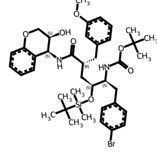 COc1cccc(C[C@H](C[C@H](O[Si](C)(C)C(C)(C)C)[C@H](Cc2ccc(Br)cc2)NC(=O)OC(C)(C)C)C(=O)N[C@H]2c3ccccc3OC[C@H]2O)c1